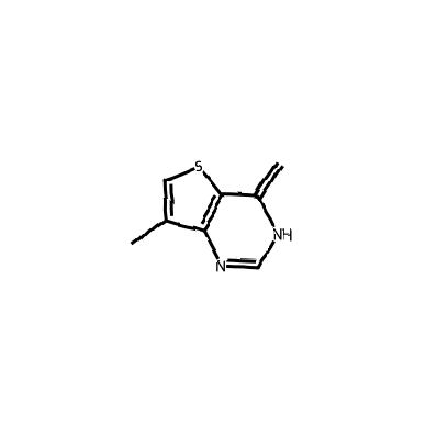 C=C1NC=Nc2c(C)csc21